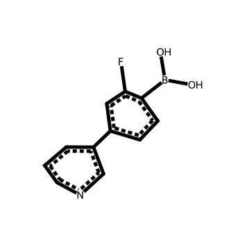 OB(O)c1ccc(-c2cccnc2)cc1F